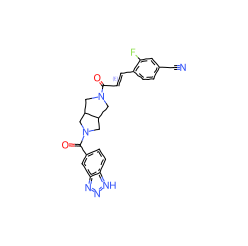 N#Cc1ccc(/C=C/C(=O)N2CC3CN(C(=O)c4ccc5[nH]nnc5c4)CC3C2)c(F)c1